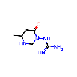 CC1CC(=O)N(NC(=N)N)CN1